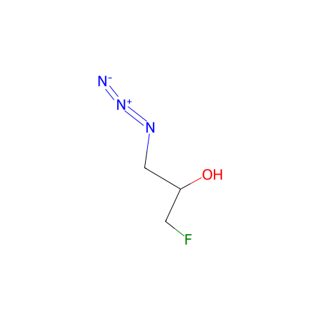 [N-]=[N+]=NCC(O)CF